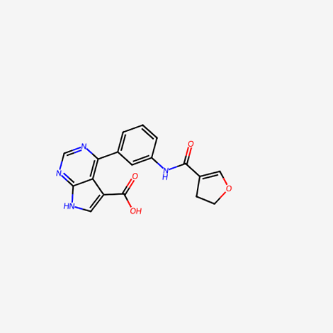 O=C(Nc1cccc(-c2ncnc3[nH]cc(C(=O)O)c23)c1)C1=COCC1